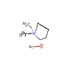 CC(=O)[O-].CCC[N+]1(C)CCCC1